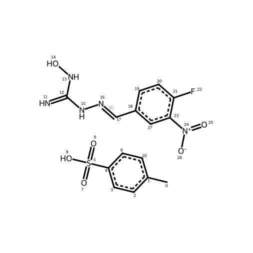 Cc1ccc(S(=O)(=O)O)cc1.N=C(NO)N/N=C/c1ccc(F)c([N+](=O)[O-])c1